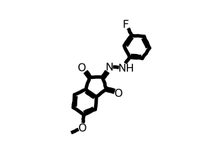 COc1ccc2c(=O)c(=NNc3cccc(F)c3)c(=O)c2c1